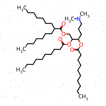 CCCCCCCCCC(=O)OC(CCCN(C)C)C(COC(=O)C(CCCCCCC)CCCCCCC)OC(=O)CCCCCCCCC